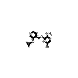 Nc1ncc(Br)nc1OCc1ccncc1OC1CC1